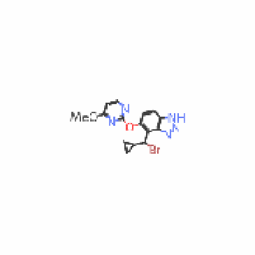 COc1ccnc(Oc2ccc3[nH]nnc3c2C(Br)C2CC2)n1